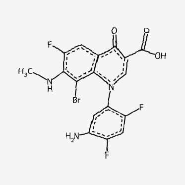 CNc1c(F)cc2c(=O)c(C(=O)O)cn(-c3cc(N)c(F)cc3F)c2c1Br